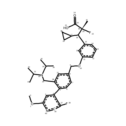 COc1cc(-c2ccc(COc3cccc(C(C4CC4)[C@@](C)(F)C(=O)O)c3)cc2CN(C(C)C)C(C)C)c(F)cn1